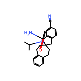 CC(C)N1C(=O)C2(N=C1N)c1cc(C#N)ccc1CC21CCc2ccccc2CC1